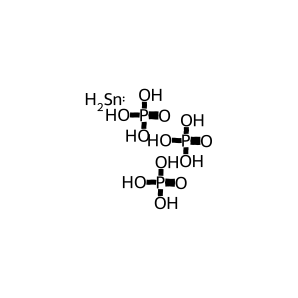 O=P(O)(O)O.O=P(O)(O)O.O=P(O)(O)O.[SnH2]